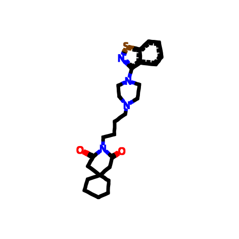 O=C1CC2(CCCCC2)CC(=O)N1CCCCN1CCN(c2nsc3ccccc23)CC1